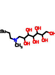 CN(CCC(C)(C)C)CC(O)C(O)C(O)C(O)C(O)CO